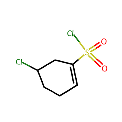 O=S(=O)(Cl)C1=CCCC(Cl)C1